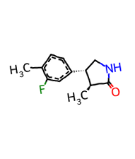 Cc1ccc([C@@H]2CNC(=O)[C@H]2C)cc1F